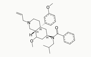 C=CCN1CC[C@@]2(c3cccc(OC)c3)C[C@@H](N(CC(C)C)C(=O)c3ccccc3)CC(OC)[C@@H]2C1